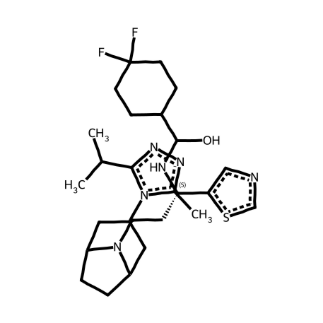 Cc1nnc(C(C)C)n1C1CC2CCC(C1)N2CC[C@H](NC(O)C1CCC(F)(F)CC1)c1cncs1